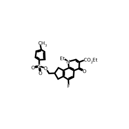 CCOC(=O)c1cn(CC)c2c3c(c(F)cc2c1=O)CC(COS(=O)(=O)c1ccc(C)cc1)C3